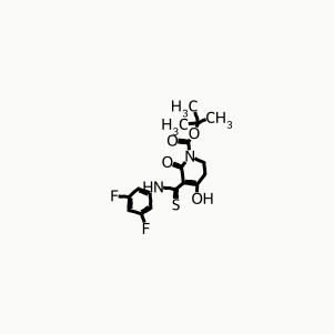 CC(C)(C)OC(=O)N1CCC(O)=C(C(=S)Nc2cc(F)cc(F)c2)C1=O